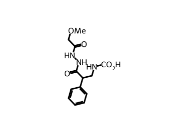 COCC(=O)NNC(=O)C(CNC(=O)O)c1ccccc1